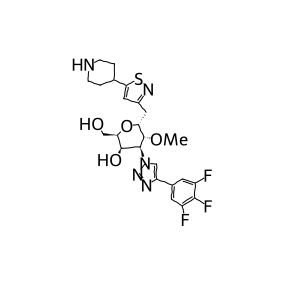 CO[C@@H]1[C@@H](n2cc(-c3cc(F)c(F)c(F)c3)nn2)[C@@H](O)[C@@H](CO)O[C@@H]1Cc1cc(C2CCNCC2)sn1